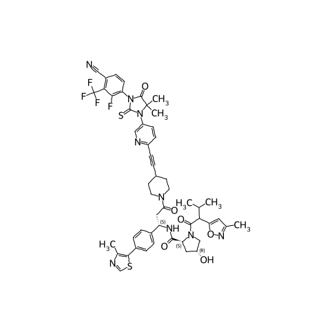 Cc1cc(C(C(=O)N2C[C@H](O)C[C@H]2C(=O)N[C@@H](CC(=O)N2CCC(C#Cc3ccc(N4C(=S)N(c5ccc(C#N)c(C(F)(F)F)c5F)C(=O)C4(C)C)cn3)CC2)c2ccc(-c3scnc3C)cc2)C(C)C)on1